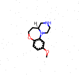 COc1ccc2c(c1)N1CCNC[C@@H]1CCO2